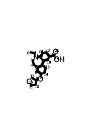 CCN1CCc2cc(OC3CCOC3)ccc2-c2cc(C(=O)O)ccc21